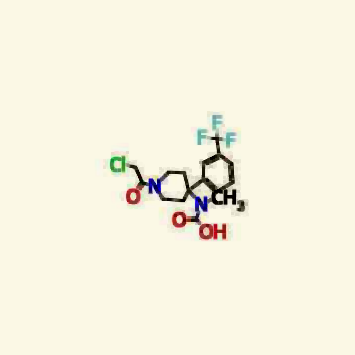 CN(C(=O)O)C1(c2cccc(C(F)(F)F)c2)CCN(C(=O)CCl)CC1